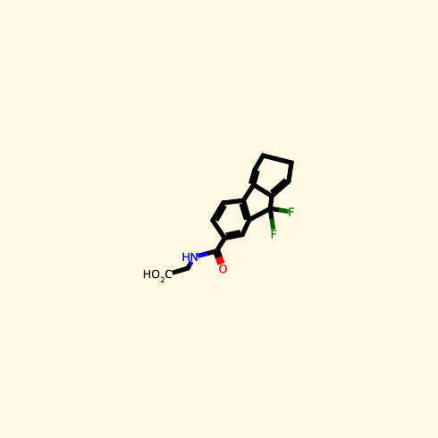 O=C(O)CNC(=O)c1ccc2c(c1)C(F)(F)C1=CCCC=C12